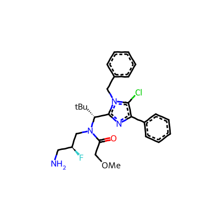 COCC(=O)N(C[C@@H](F)CN)[C@@H](c1nc(-c2ccccc2)c(Cl)n1Cc1ccccc1)C(C)(C)C